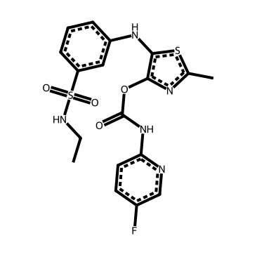 CCNS(=O)(=O)c1cccc(Nc2sc(C)nc2OC(=O)Nc2ccc(F)cn2)c1